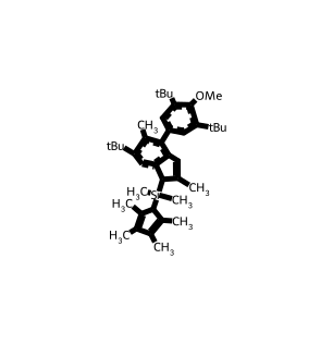 COc1c(C(C)(C)C)cc(-c2c(C)c(C(C)(C)C)cc3c2C=C(C)C3[Si](C)(C)C2C(C)=C(C)C(C)=C2C)cc1C(C)(C)C